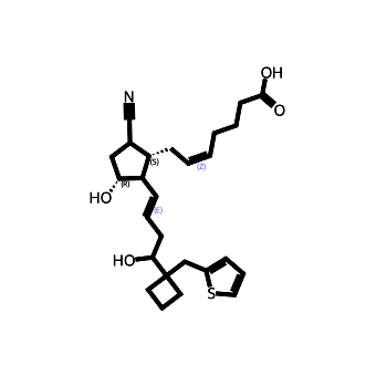 N#CC1C[C@@H](O)C(/C=C/CC(O)C2(Cc3cccs3)CCC2)[C@H]1C/C=C\CCCC(=O)O